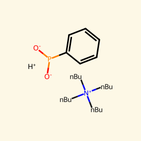 CCCC[N+](CCCC)(CCCC)CCCC.[H+].[O-]P([O-])c1ccccc1